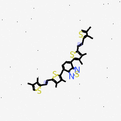 Cc1csc(/C=C/c2sc(-c3ccc(-c4sc(/C=C/c5scc(C)c5C)c(C)c4C)c4nsnc34)c(C)c2C)c1C